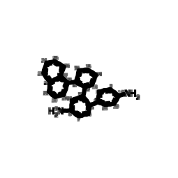 Nc1ccc(-c2ccc(N)cc2-c2ccccc2-c2cccc3ccccc23)cc1